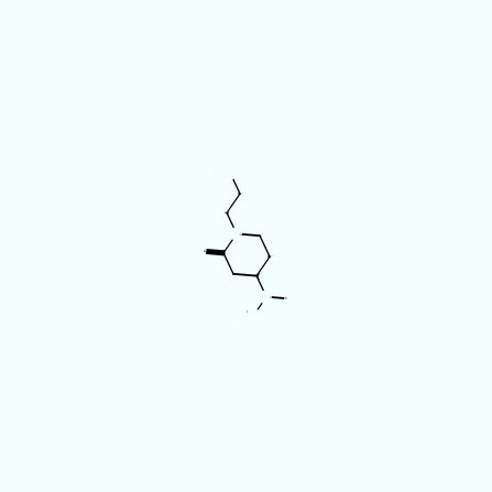 CCCN1CCC(N(C)C)CC1=O